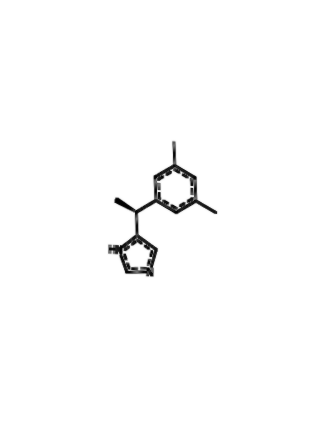 Cc1cc(C)cc([C@H](C)c2cnc[nH]2)c1